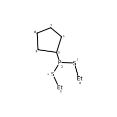 CCSP(SCC)C1CCCC1